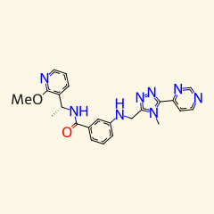 COc1ncccc1[C@@H](C)NC(=O)c1cccc(NCc2nnc(-c3ccncn3)n2C)c1